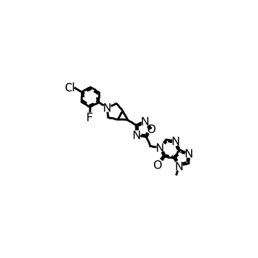 Cn1cnc2ncn(Cc3nc(C4C5CN(c6ccc(Cl)cc6F)CC54)no3)c(=O)c21